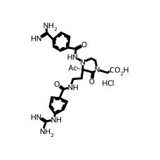 CC(=O)[C@@]1(CCNC(=O)c2ccc(NC(=N)N)cc2)C(=O)N(CC(=O)O)CCN1NC(=O)c1ccc(C(=N)N)cc1.Cl